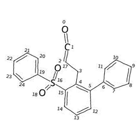 O=C=CCc1c(-c2ccccc2)cccc1S(=O)(=O)c1ccccc1